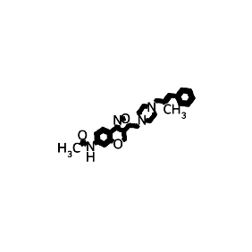 CC(=O)Nc1ccc2c(c1)OCC1C2=NOC1CN1CCN(C/C(C)=C/c2ccccc2)CC1